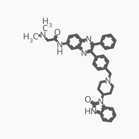 CN(C)CC(=O)Nc1ccc2nc(-c3ccccc3)c(-c3ccc(CN4CCC(n5c(=O)[nH]c6ccccc65)CC4)cc3)nc2c1